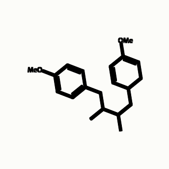 COC1=CCC(CC(C)C(C)Cc2ccc(OC)cc2)C=C1